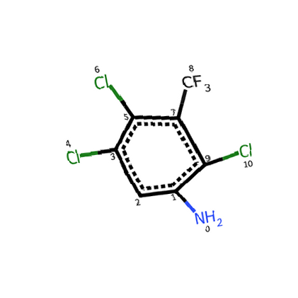 Nc1cc(Cl)c(Cl)c(C(F)(F)F)c1Cl